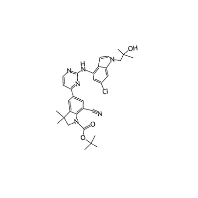 CC(C)(O)Cn1ccc2c(Nc3nccc(-c4cc(C#N)c5c(c4)C(C)(C)CN5C(=O)OC(C)(C)C)n3)cc(Cl)cc21